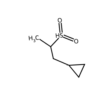 CC(C[C]1CC1)[SH](=O)=O